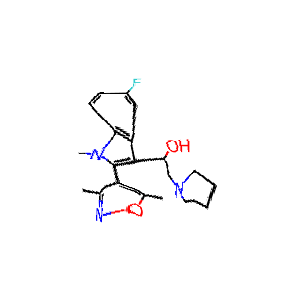 Cc1noc(C)c1-c1c(C(O)CN2CCCC2)c2cc(F)ccc2n1C